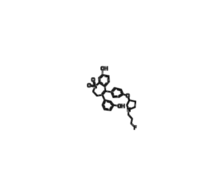 O=S1(=O)CCC(c2cccc(O)c2)=C(c2ccc(O[C@H]3CCN(CCCF)C3)cc2)c2ccc(O)cc21